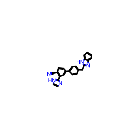 N#Cc1ccc(-c2ccc(Cc3nc4ccccc4[nH]3)cc2)cc1-c1ncc[nH]1